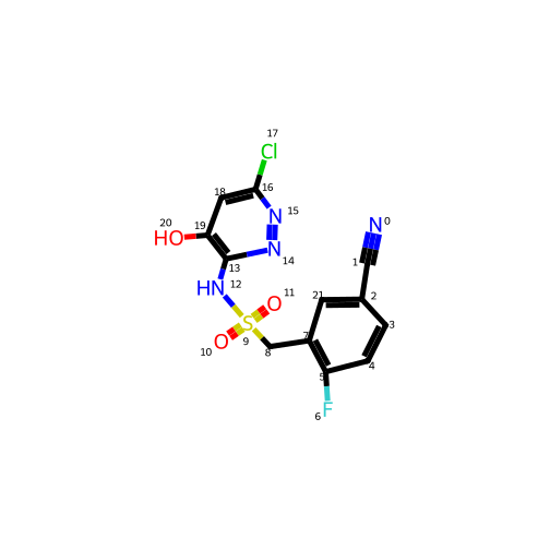 N#Cc1ccc(F)c(CS(=O)(=O)Nc2nnc(Cl)cc2O)c1